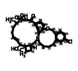 C[C@@H]1CC/C=C/[C@@H](O)[C@]2(C)CC[C@H]2CN2CCCCc3cc(Cl)ccc3COc3ccc(cc32)C(=O)NS1(=O)=O